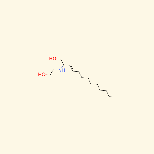 CCCCCCCCC/C=C/C(CO)NCCO